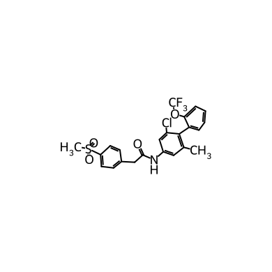 Cc1cc(NC(=O)Cc2ccc(S(C)(=O)=O)cc2)cc(Cl)c1-c1ccccc1OC(F)(F)F